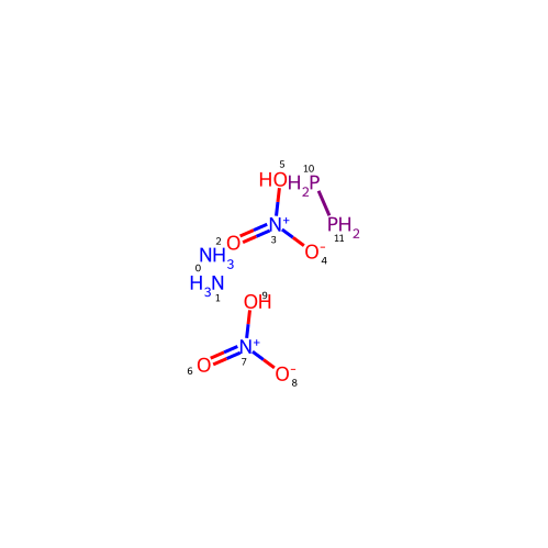 N.N.O=[N+]([O-])O.O=[N+]([O-])O.PP